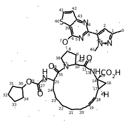 Cc1cc(-c2nc(O[C@@H]3C[C@H]4C(=O)N[C@]5(C(=O)O)C[C@H]5/C=C\CCCCCC(NC(=O)OC5CCCC5)C(=O)N4C3)c3sccc3n2)n(C)n1